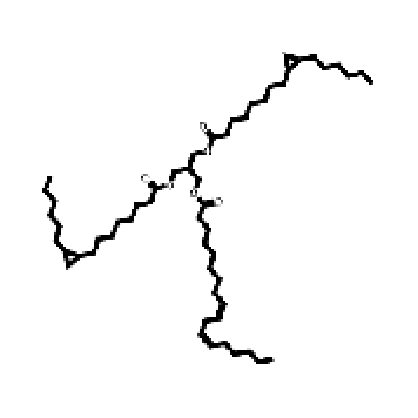 CCCCC/C=C\C/C=C\CCCCCCCC(=O)OCC(COC(=O)CCCCCCCC1CC1CCCCCC)COC(=O)CCCCCCCC1CC1CCCCCC